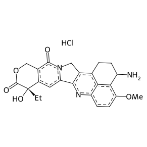 CC[C@@]1(O)C(=O)OCc2c1cc1n(c2=O)Cc2c-1nc1ccc(OC)c3c1c2CCC3N.Cl